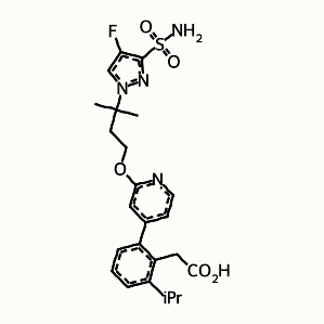 CC(C)c1cccc(-c2ccnc(OCCC(C)(C)n3cc(F)c(S(N)(=O)=O)n3)c2)c1CC(=O)O